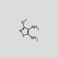 COc1nsc(N)c1N